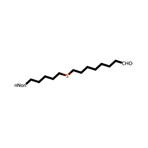 CCCCCCCCCCCCCCSCCCCCCC[C]=O